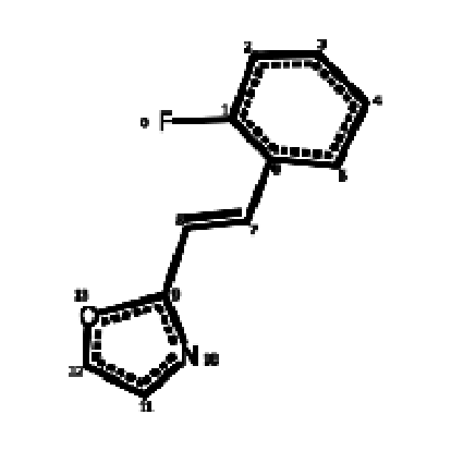 Fc1ccccc1C=Cc1ncco1